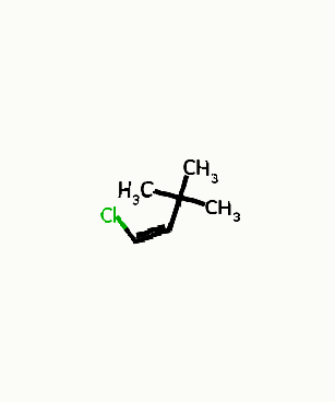 CC(C)(C)/C=C\Cl